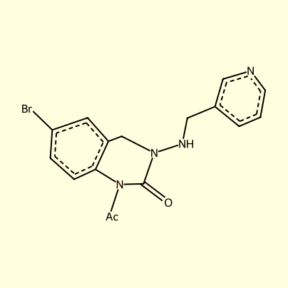 CC(=O)N1C(=O)N(NCc2cccnc2)Cc2cc(Br)ccc21